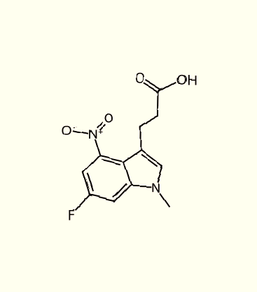 Cn1cc(CCC(=O)O)c2c([N+](=O)[O-])cc(F)cc21